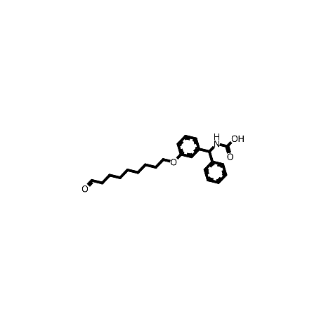 O=CCCCCCCCCOc1cccc(C(NC(=O)O)c2ccccc2)c1